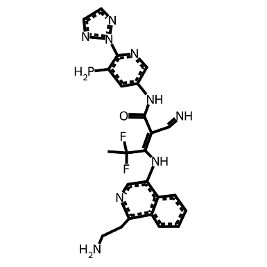 CC(F)(F)/C(Nc1cnc(CCN)c2ccccc12)=C(/C=N)C(=O)Nc1cnc(-n2nccn2)c(P)c1